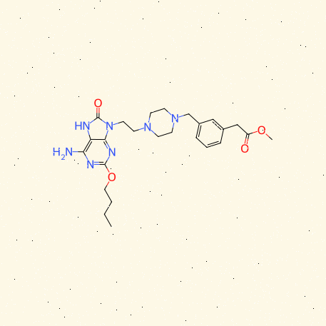 CCCCOc1nc(N)c2[nH]c(=O)n(CCN3CCN(Cc4cccc(CC(=O)OC)c4)CC3)c2n1